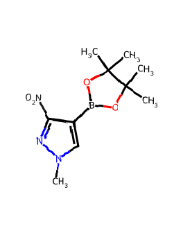 Cn1cc(B2OC(C)(C)C(C)(C)O2)c([N+](=O)[O-])n1